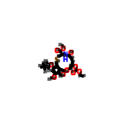 CCOC(=O)O[C@@H]1CCC(=O)N[C@H](C(=O)OC)CSCc2c(O[Si](C)(C)C(C)(C)C)cc(OC)c(C)c2C(=O)OC1